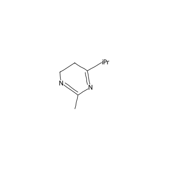 CC1=NCCC(C(C)C)=N1